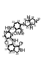 COc1c(Nc2ncc(Cl)c(Nc3cccc4c3C(=O)NC4)n2)ccc(N2C[C@H]3CN(C)C[C@H]3C2)c1F